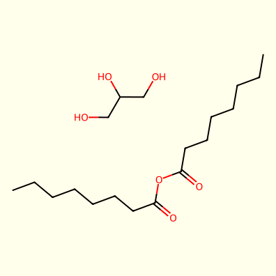 CCCCCCCC(=O)OC(=O)CCCCCCC.OCC(O)CO